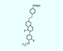 CCCCCCCc1ccc(CCc2ccc3c(F)c(-c4ccc(OC(F)(F)F)c(F)c4)ccc3c2)cc1